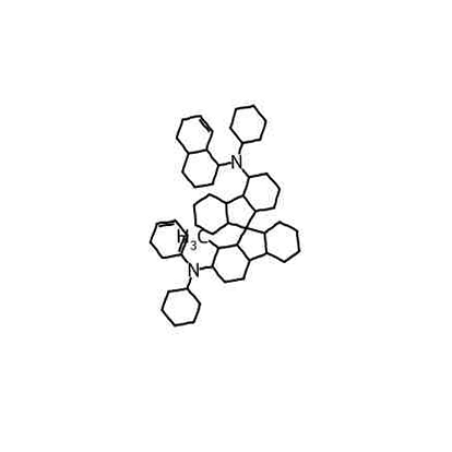 CC1C(N(C2=CC=CCC2)C2CCCCC2)CCC2C3CCCCC3C3(C4CCCCC4C4C(N(C5CCCCC5)C5CCCC6CCC=CC65)CCCC43)C12